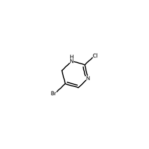 ClC1=NC=C(Br)CN1